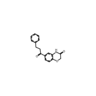 O=C1COc2ccc(C(=O)CCc3ccccc3)cc2N1